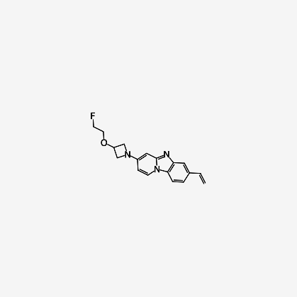 C=Cc1ccc2c(c1)nc1cc(N3CC(OCCF)C3)ccn12